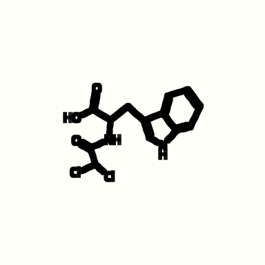 O=C(NC(Cc1c[nH]c2ccccc12)C(=O)O)C(Cl)Cl